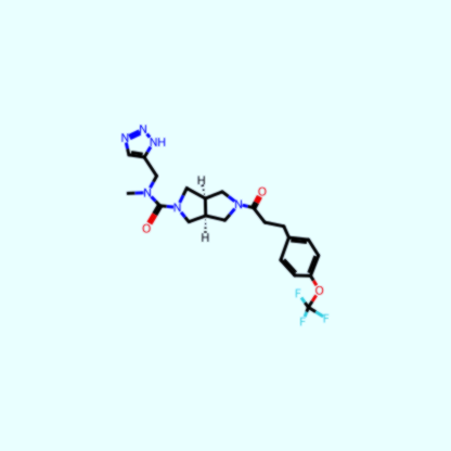 CN(Cc1cnn[nH]1)C(=O)N1C[C@H]2CN(C(=O)CCc3ccc(OC(F)(F)F)cc3)C[C@H]2C1